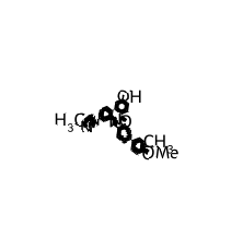 COc1ccc([C@H]2CC[C@H](CN(c3cccc(-n4cnc(C)c4)c3)C(=O)[C@H]3CC[C@H](O)CC3)CC2)cc1C